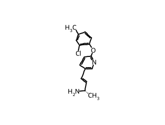 Cc1ccc(Oc2ccc(/C=C/[C@H](C)N)cn2)c(Cl)c1